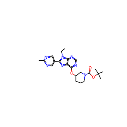 CCn1c(-c2cnc(C)nc2)nc2c(OC3CCCN(C(=O)OC(C)(C)C)C3)ncnc21